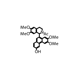 COc1cc2c(cc1OC)C(c1cc3ccc(O)cc3c3cc(OC)c(OC)cc13)N(C(C)=O)CC2